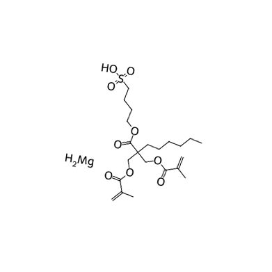 C=C(C)C(=O)OCC(CCCCCC)(COC(=O)C(=C)C)C(=O)OCCCCS(=O)(=O)O.[MgH2]